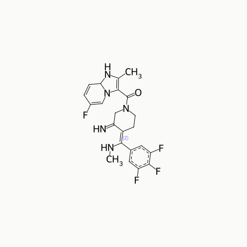 CN/C(=C1/CCN(C(=O)C2=C(C)NC3C=CC(F)=CN23)CC1=N)c1cc(F)c(F)c(F)c1